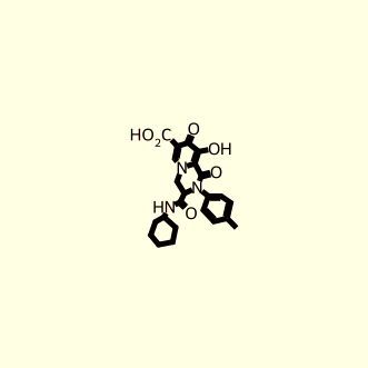 Cc1ccc(N2C(=O)c3c(O)c(=O)c(C(=O)O)cn3CC2C(=O)NC2CCCCC2)cc1